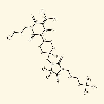 CC1(CN2C(=O)N(COCC[Si](C)(C)C)C(=O)C2(C)C)CCC(N2C(=O)C(=C(N)N)C(=O)N(CCCC(F)(F)F)C2=O)CC1